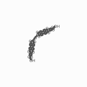 O=C1c2ccc3c4ccc5c6c(ccc(c7ccc(c2c37)C(=O)N1CCCOCCCN1C(=O)c2ccc3c7ccc8c9c(ccc(c%10ccc(c2c3%10)C1=O)c97)C(=O)N(c1ccc(S(=O)(=O)CCO)cc1)C8=O)c64)C(=O)N(c1ccc(S(=O)(=O)CCO)cc1)C5=O